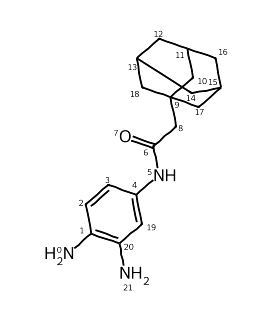 Nc1ccc(NC(=O)CC23CC4CC(CC(C4)C2)C3)cc1N